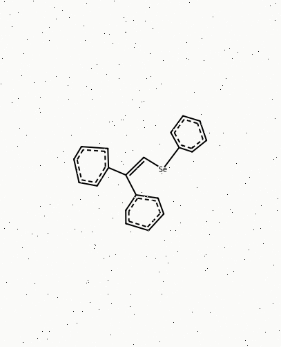 C([Se]c1ccccc1)=C(c1ccccc1)c1ccccc1